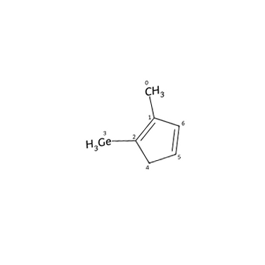 CC1=[C]([GeH3])CC=C1